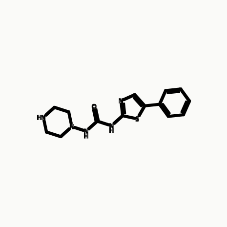 O=C(Nc1ncc(-c2ccccc2)s1)NN1CCNCC1